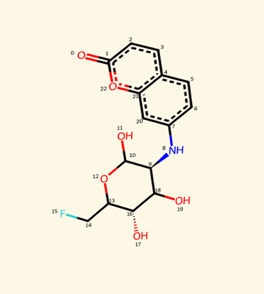 O=c1ccc2ccc(N[C@@H]3C(O)OC(CF)[C@@H](O)C3O)cc2o1